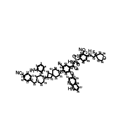 CC(C)c1ccccc1[C@@H]1CN(Cc2ccc(C#N)cc2)CCN1C1CC2(CCN(c3cc(Oc4cnc5[nH]ccc5c4)c(C(=O)NS(=O)(=O)c4ccc(NCC5(F)CCOCC5)c([N+](=O)[O-])c4)cc3F)CC2)C1